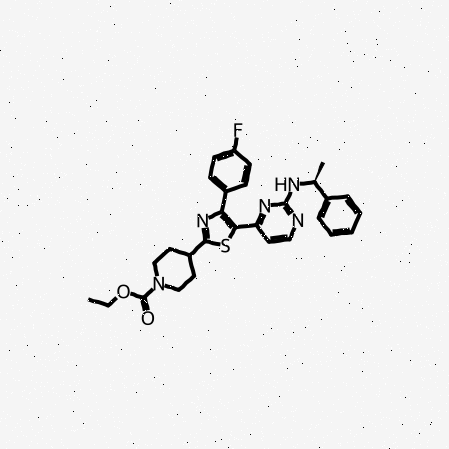 CCOC(=O)N1CCC(c2nc(-c3ccc(F)cc3)c(-c3ccnc(N[C@@H](C)c4ccccc4)n3)s2)CC1